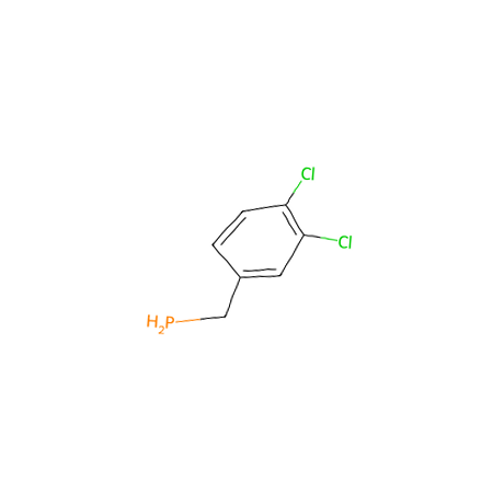 PCc1ccc(Cl)c(Cl)c1